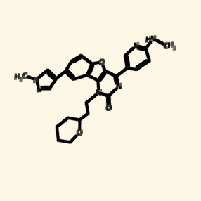 CNc1ccc(-c2nc(=O)n(CCC3CCCCO3)c3c2oc2ccc(-c4cnn(C)c4)cc23)cn1